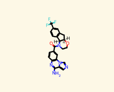 Nc1nc2ccc(C(=O)N3CCO[C@@H]4Cc5cc(C(F)(F)F)ccc5[C@@H]43)cc2n2cncc12